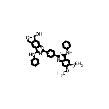 COc1cc2nc(-c3ccc(-c4nc(Nc5ccccc5)c5cc(CO)c(CO)cc5n4)cc3)nc(Nc3ccccc3)c2cc1OC